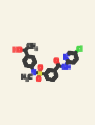 CC(O)c1ccc(N(C)S(=O)(=O)c2cccc(C(=O)Nc3ccc(Cl)cn3)c2)cc1